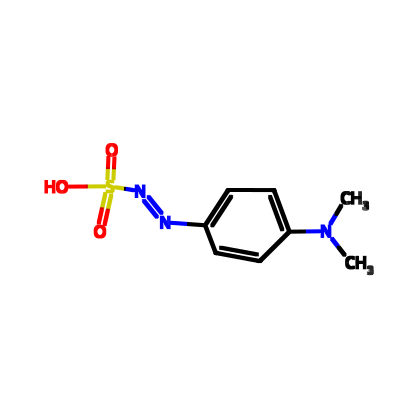 CN(C)c1ccc(N=NS(=O)(=O)O)cc1